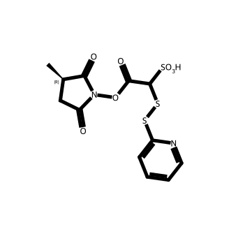 C[C@@H]1CC(=O)N(OC(=O)C(SSc2ccccn2)S(=O)(=O)O)C1=O